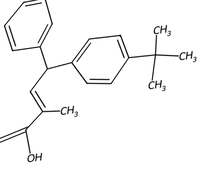 CC(=CC(c1ccccc1)c1ccc(C(C)(C)C)cc1)C(=O)O